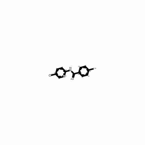 O=C(Nc1ccc(Cl)cn1)c1ccc(I)cc1